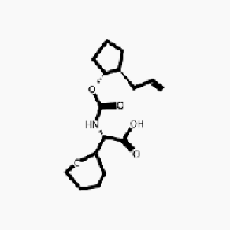 C=CC[C@@H]1CCC[C@H]1OC(=O)N[C@H](C(=O)O)C1CCCCC1